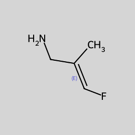 C/C(=C\F)CN